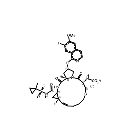 CC[C@@H]1OCCC/C=C\[C@@H]2C[C@@]2(C(=O)NS(=O)(=O)C2(C)CC2)NC(=O)[C@@H]2C[C@@H](Oc3nccc4cc(OC)c(F)cc34)CN2C(=O)[C@H]1NC(=O)O